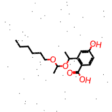 CCCCCCOC(C)OC(C)c1cc(O)ccc1C(=O)O